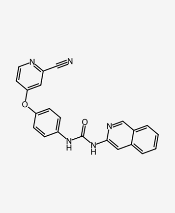 N#Cc1cc(Oc2ccc(NC(=O)Nc3cc4ccccc4cn3)cc2)ccn1